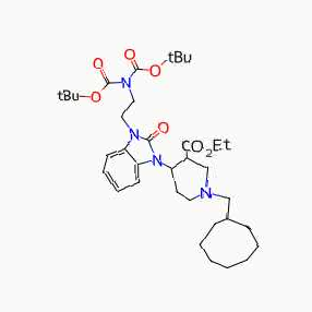 CCOC(=O)C1CN(CC2CCCCCCC2)CCC1n1c(=O)n(CCN(C(=O)OC(C)(C)C)C(=O)OC(C)(C)C)c2ccccc21